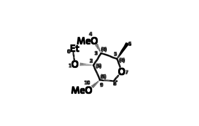 CCO[C@@H]1[C@H](OC)[C@@H](C)O[CH][C@@H]1OC